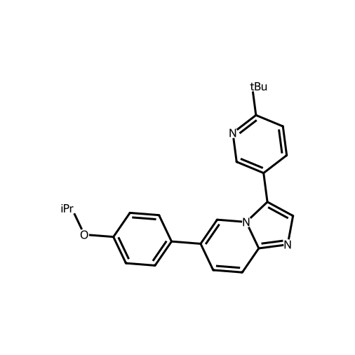 CC(C)Oc1ccc(-c2ccc3ncc(-c4ccc(C(C)(C)C)nc4)n3c2)cc1